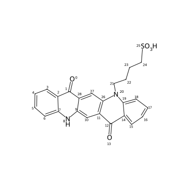 O=c1c2ccccc2[nH]c2cc3c(=O)c4ccccc4n(CCCCS(=O)(=O)O)c3cc12